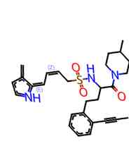 C=c1cc[nH]/c1=C/C=C\CS(=O)(=O)NC(CCc1ccccc1C#CC)C(=O)N1CCC(C)CC1